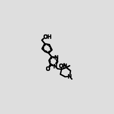 CN1CCC(O)(Cn2cnc(-c3ccc(CO)cc3)cc2=O)C(C)(C)C1